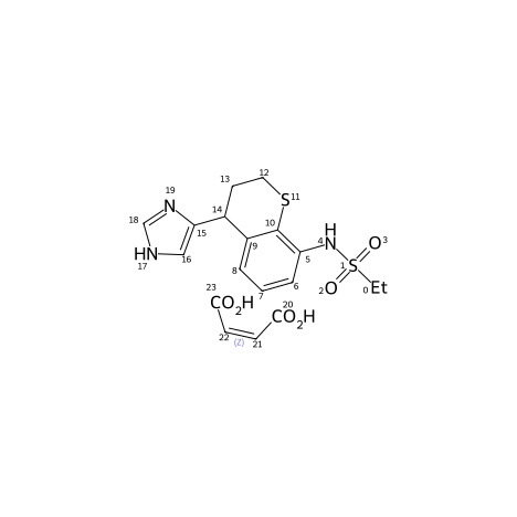 CCS(=O)(=O)Nc1cccc2c1SCCC2c1c[nH]cn1.O=C(O)/C=C\C(=O)O